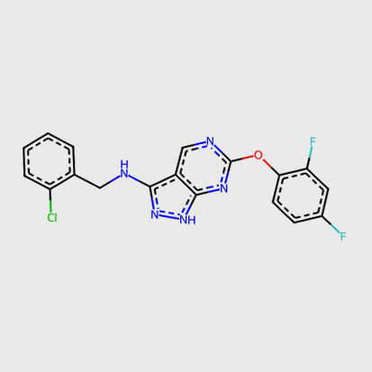 Fc1ccc(Oc2ncc3c(NCc4ccccc4Cl)n[nH]c3n2)c(F)c1